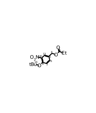 CCC(=O)OCc1ccc(OC(C)(C)C)c([N+](=O)[O-])c1